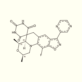 C[C@@H]1CN2c3c(cc4c(-c5cnccn5)noc4c3F)CC3(C(=O)NC(=O)NC3=O)[C@@H]2[C@H](C)O1